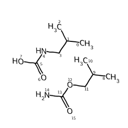 CC(C)CNC(=O)O.CC(C)COC(N)=O